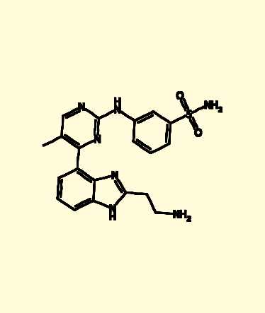 Cc1cnc(Nc2cccc(S(N)(=O)=O)c2)nc1-c1cccc2[nH]c(CCN)nc12